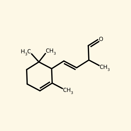 CC1=CCCC(C)(C)C1C=CC(C)C=O